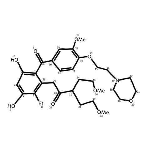 CCc1c(O)cc(O)c(C(=O)c2ccc(OCCN3CCOCC3)c(OC)c2)c1CC(=O)C(CCOC)CCOC